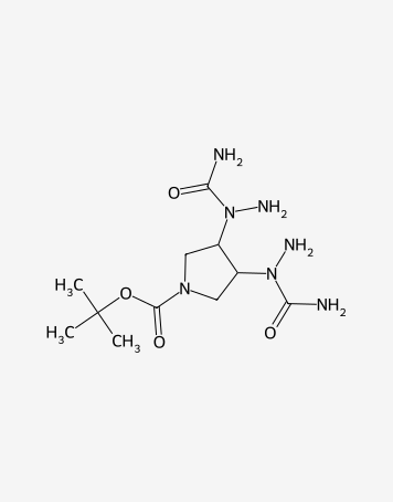 CC(C)(C)OC(=O)N1CC(N(N)C(N)=O)C(N(N)C(N)=O)C1